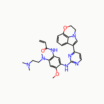 C=CC(=O)Nc1cc(Nc2nccc(-c3cn4c5c(cccc35)OCC4)n2)c(OC)cc1N(C)CCN(C)C